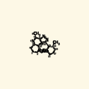 COc1cccc2nc(C)c3nnc(-c4c(C)cccc4C)n3c12